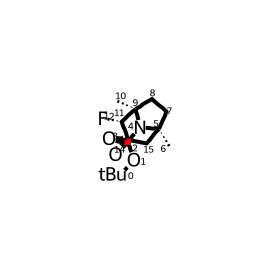 CC(C)(C)OC(=O)N1[C@@]2(C)CC[C@]1(C)[C@@H](F)C(=O)C2